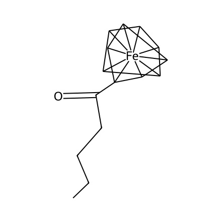 CCCCC(=O)[C]12[CH]3[CH]4[CH]5[CH]1[Fe]45321678[CH]2[CH]1[CH]6[CH]7[CH]28